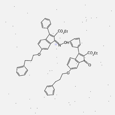 CCOC(=O)C1=C(c2ccccc2)c2ccc(OCCCc3ccccc3)cc2/C1=N/O.CCOC(=O)C1=C(c2ccccc2)c2ccc(OCCCc3ccccc3)cc2C1=O